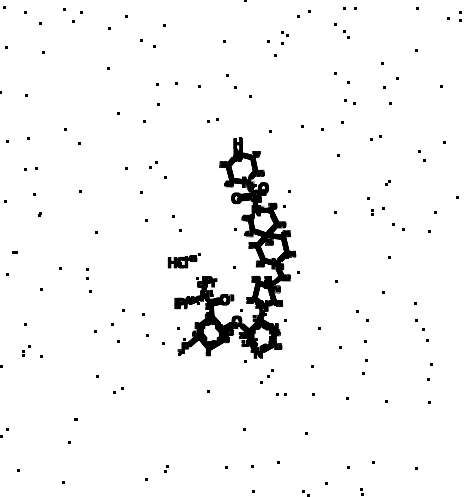 CC(C)N(C(=O)c1cc(F)ccc1Oc1cncnc1N1CC[C@@H](CN2CCC3(CC2)CCN(S(=O)(=O)N2CCNCC2)CC3)C1)C(C)C.Cl